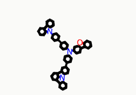 c1ccc2c(c1)oc1cc(N(c3ccc(-c4ccc(-n5c6ccccc6c6ccccc65)cc4)cc3)c3ccc(-c4ccc5c(c4)c4cccc6c7ccccc7n5c64)cc3)ccc12